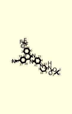 CC(C)(C)OC(=O)N[C@H]1CCCN(c2ccc3nc(-c4ccc(OC(F)(F)F)cc4)c(-c4ccc(C#N)cc4)nc3c2)C1